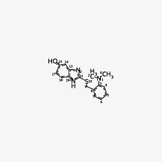 CN(C)c1ccccc1CSc1nc2cc(O)ccc2[nH]1